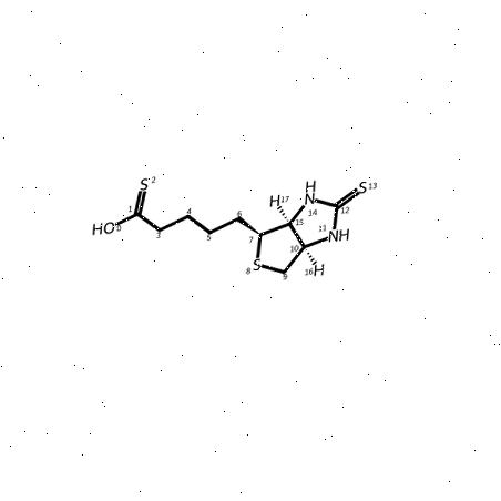 OC(=S)CCCC[C@@H]1SC[C@@H]2NC(=S)N[C@@H]21